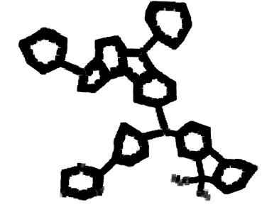 CC1(C)c2ccccc2-c2ccc(N(c3ccc(-c4ncncn4)cc3)c3ccc4c(c3)c3c5ccn(-c6ccccc6)c5ccc3n4-c3ccccc3)cc21